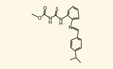 COC(=O)NC(=S)Nc1ccccc1/N=C/c1ccc(C(C)C)cc1